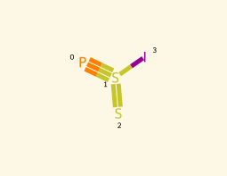 P#S(=S)I